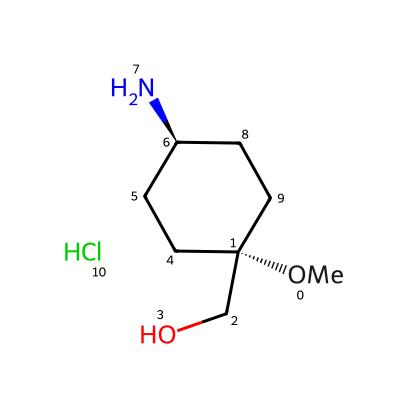 CO[C@]1(CO)CC[C@@H](N)CC1.Cl